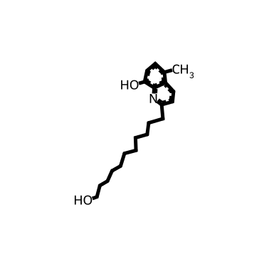 Cc1ccc(O)c2nc(CCCCCCCCCCCO)ccc12